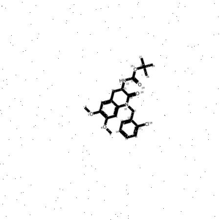 COc1cc2c(cc1OC)N(Cc1ccccc1Cl)C(=O)C(NC(=O)OC(C)(C)C)C2